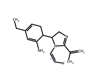 C=C(C)C1=NCC(C2CC=C(CC)C=C2N)N1/C=C\F